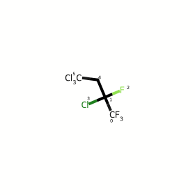 FC(F)(F)C(F)(Cl)CC(Cl)(Cl)Cl